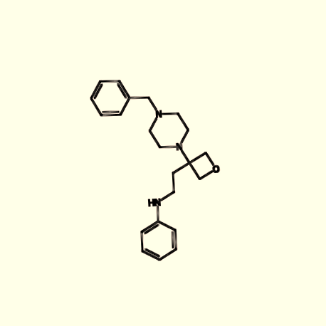 c1ccc(CN2CCN(C3(CCNc4ccccc4)COC3)CC2)cc1